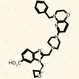 O=C(O)c1ccc2nc(CN3CCN(c4ccc5c(n4)N(Cc4ccccc4)CCO5)CC3)n(C[C@@H]3CCO3)c2c1